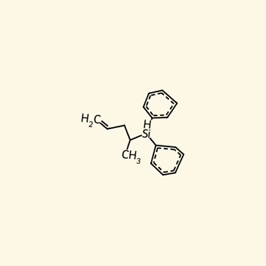 C=CCC(C)[SiH](c1ccccc1)c1ccccc1